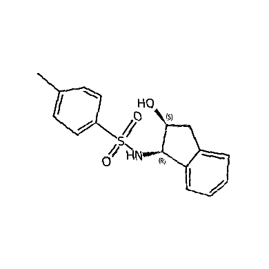 Cc1ccc(S(=O)(=O)N[C@@H]2c3ccccc3C[C@@H]2O)cc1